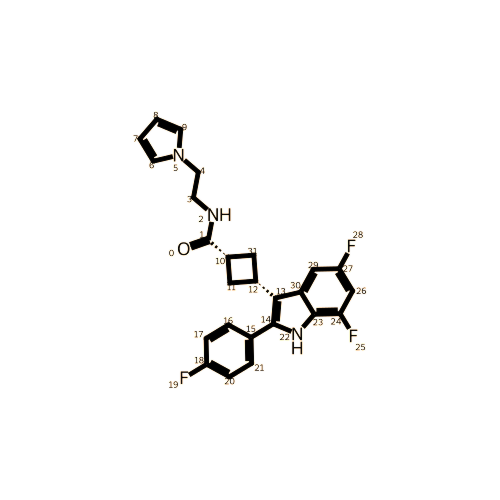 O=C(NCCn1cccc1)[C@H]1C[C@@H](c2c(-c3ccc(F)cc3)[nH]c3c(F)cc(F)cc32)C1